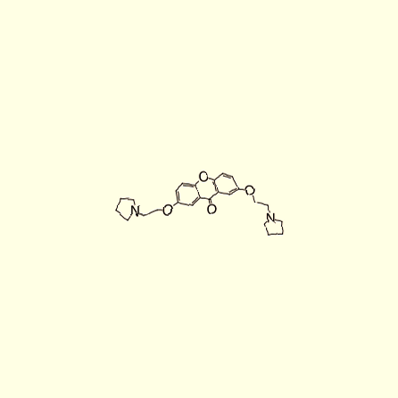 O=c1c2cc(OCCN3CCCC3)ccc2oc2ccc(OCCN3CCCC3)cc12